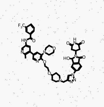 Cc1ncc(NC(=O)c2cccc(C(F)(F)F)c2)cc1-c1cnc(OCCOC2CCN(Cc3cn(-c4ccc5c(c4)C(O)N(C4CC(=O)NC(=O)C4)C5=O)nn3)CC2)c(N2CCOCC2)c1